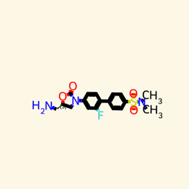 CN(C)S(=O)(=O)c1ccc(-c2ccc(N3C[C@H](CN)OC3=O)cc2F)cc1